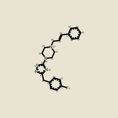 Fc1ccc(Cc2nsc(N3CCN(CC=Cc4ccccc4)CC3)n2)cc1